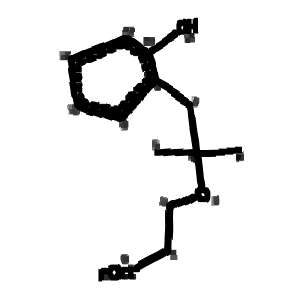 CCCCCCCCCCOC(C)(C)Cc1ccccc1O